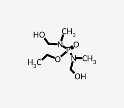 CCOP(=O)(N(C)CO)N(C)CO